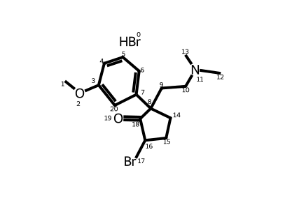 Br.COc1cccc(C2(CCN(C)C)CCC(Br)C2=O)c1